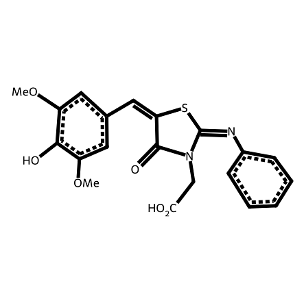 COc1cc(C=C2SC(=Nc3ccccc3)N(CC(=O)O)C2=O)cc(OC)c1O